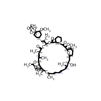 CO[C@@H]1C[C@H](C[C@@H](C)[C@@H]2CC(=O)[C@H](C)/C=C(\C)[C@@H](OC(C)C)[C@@H](OC)C(=O)[C@H](C)C[C@H](C)/C=C/C=C/C=C(\C)[C@@H](O)C[C@@H]3CC[C@@H](C)[C@@](O)(O3)C(=O)C(=O)N3CCCC[C@H]3C(=O)O2)CC[C@H]1OP(C)(C)=O